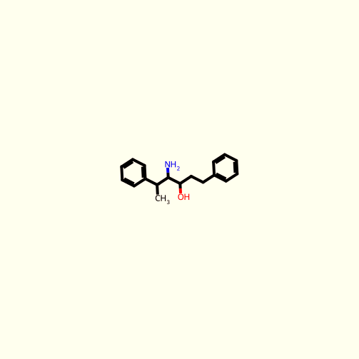 C[C](c1ccccc1)C(N)C(O)CCc1ccccc1